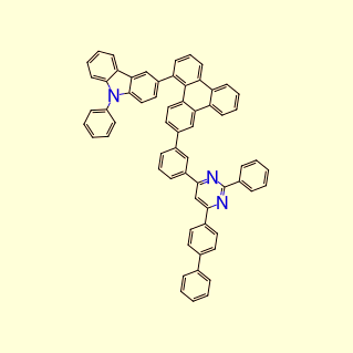 c1ccc(-c2ccc(-c3cc(-c4cccc(-c5ccc6c(c5)c5ccccc5c5cccc(-c7ccc8c(c7)c7ccccc7n8-c7ccccc7)c56)c4)nc(-c4ccccc4)n3)cc2)cc1